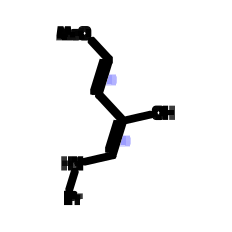 CO/C=C/C(O)=C\NC(C)C